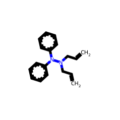 C=CCN(CC=C)N(c1ccccc1)c1ccccc1